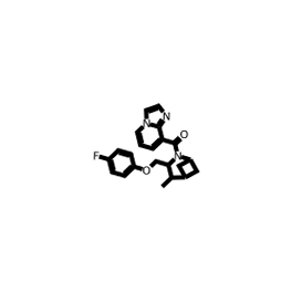 CC1C2CC(C2)N(C(=O)c2cccn3ccnc23)C1COc1ccc(F)cc1